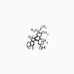 C=C1Cc2c(C)c(CC(=O)O)c(-c3cc(F)c4c(c3C)CCCO4)c(C)c2CN1C(C)CCC